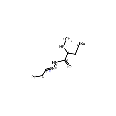 CPC(CC(C)(C)C)C(=O)N/N=C/CC(C)C